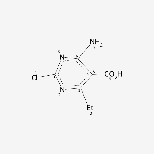 CCc1nc(Cl)nc(N)c1C(=O)O